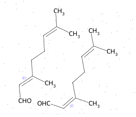 CC(C)=CCC/C(C)=C/C=O.CC(C)=CCC/C(C)=C\C=O